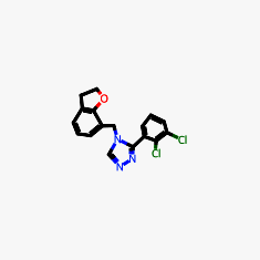 Clc1cccc(-c2nncn2Cc2cccc3c2OCC3)c1Cl